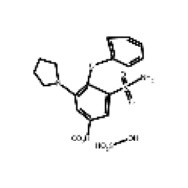 NS(=O)(=O)c1cc(C(=O)O)cc(N2CCCC2)c1Oc1ccccc1.O=S(=O)(O)O